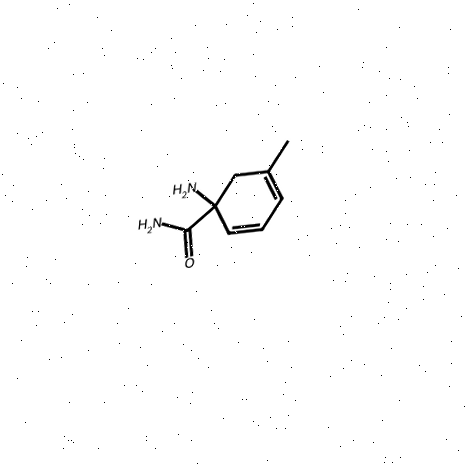 CC1=CC=CC(N)(C(N)=O)C1